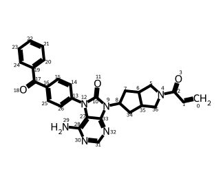 C=CC(=O)N1CC2CC(n3c(=O)n(-c4ccc(C(=O)c5ccccc5)cc4)c4c(N)ncnc43)CC2C1